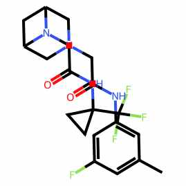 Cc1cc(F)cc(NC(=O)CN2CC3CC(C2)N3CC(=O)NC2(C(F)(F)F)CC2)c1